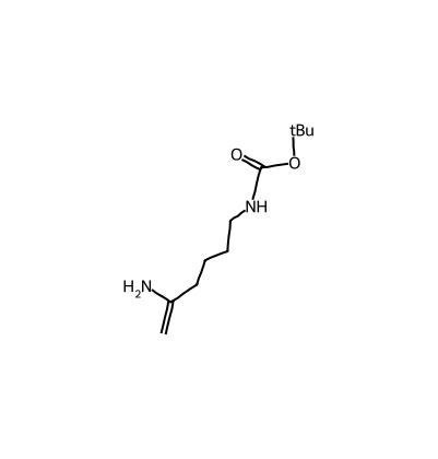 C=C(N)CCCCNC(=O)OC(C)(C)C